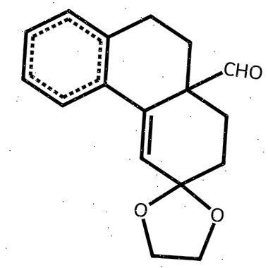 O=CC12CCc3ccccc3C1=CC1(CC2)OCCO1